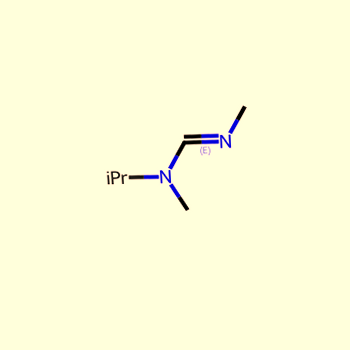 C/N=C/N(C)C(C)C